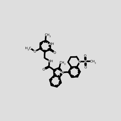 COc1cc(C)[nH]c(=O)c1CNC(=O)c1c(C)n(-c2cccc3c2CCCN3S(C)(=O)=O)c2ccccc12